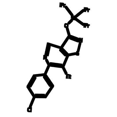 CCc1c(-c2ccc(Cl)cc2)ncc2c(O[Si](C(C)C)(C(C)C)C(C)C)nsc12